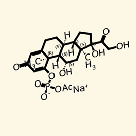 CC(=O)OP(=O)([O-])OC1=CC(=O)C=C2CC[C@@H]3[C@H]([C@@H](O)C[C@@]4(C)[C@H]3CC[C@]4(O)C(=O)CO)[C@]21C.[Na+]